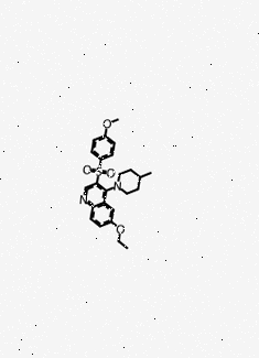 CCOc1ccc2ncc(S(=O)(=O)c3ccc(OC)cc3)c(N3CCC(C)CC3)c2c1